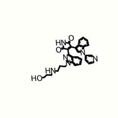 O=C1NC(=O)C(c2nn(CCCNCCCO)c3ccccc23)=C1c1cn(-c2cccnc2)c2ccccc12